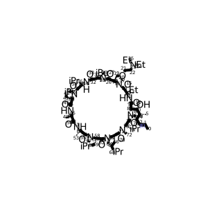 C/C=C/C[C@@H](C)[C@@H](O)[C@H]1C(=O)N[C@@H](CC)C(=O)N(C)[C@H](COCCN(CC)CC)C(=O)N(C)[C@@H](C(C)CC)C(=O)N[C@H](C(C)C)C(=O)N(C)[C@H](CC(C)C)C(=O)N[C@H](C)C(=O)N[C@@H](C)C(=O)N(C)[C@@H](CC(C)C)C(=O)N(C)[C@@H](CCC(C)C)C(=O)N(C)[C@@H](C(C)C)C(=O)N1C